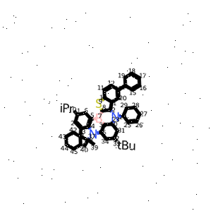 CC(C)C1C=C2C3=C(C1)B1C4SC5C=CC(C6C=CC=CC6)=CC5C4N(C4C=CCCC4)C4CC(C(C)(C)C)CC(C14)N3C(C)(C)C21CCCCC1